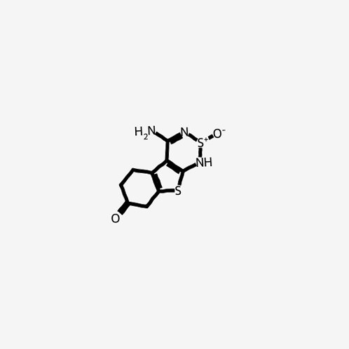 NC1=N[S+]([O-])Nc2sc3c(c21)CCC(=O)C3